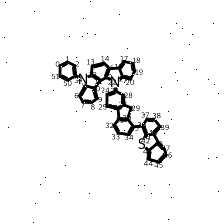 c1ccc(-n2c3ccccc3c3c2ccc2c4ccccc4n(-c4ccc5c(c4)Cc4c-5cccc4-c4cccc5c4sc4ccccc45)c23)cc1